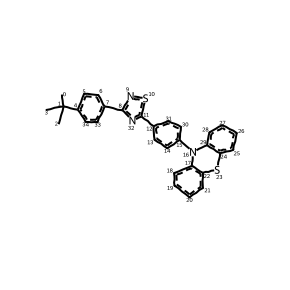 CC(C)(C)c1ccc(-c2nsc(-c3ccc(N4c5ccccc5Sc5ccccc54)cc3)n2)cc1